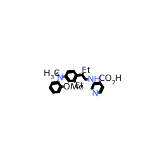 CCc1cc(N(C)c2ccccc2OC)ccc1[C@@H](CC)CNc1cnccc1C(=O)O